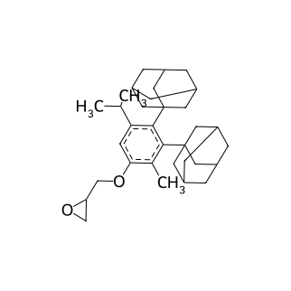 Cc1c(OCC2CO2)cc(C(C)C)c(C23CC4CC(CC(C4)C2)C3)c1C12CC3CC(CC(C3)C1)C2